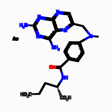 CN(Cc1cnc2nc(N)nc(N)c2n1)c1ccc(C(=O)N[C@@H](CCC(=O)O)C(=O)O)cc1.[Au]